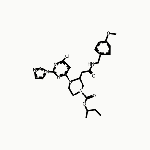 CCC(C)OC(=O)N1CCN(c2cc(Cl)nc(-n3ccnc3)n2)C(CC(=O)NCc2ccc(OC)cc2)C1